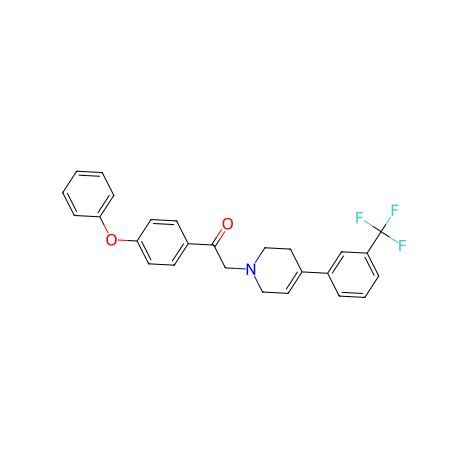 O=C(CN1CC=C(c2cccc(C(F)(F)F)c2)CC1)c1ccc(Oc2ccccc2)cc1